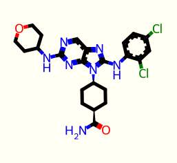 NC(=O)[C@H]1CC[C@@H](n2c(Nc3ccc(Cl)cc3Cl)nc3cnc(NC4CCOCC4)nc32)CC1